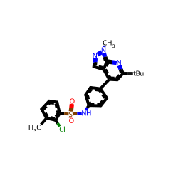 Cc1cccc(S(=O)(=O)Nc2ccc(-c3cc(C(C)(C)C)nc4c3cnn4C)cc2)c1Cl